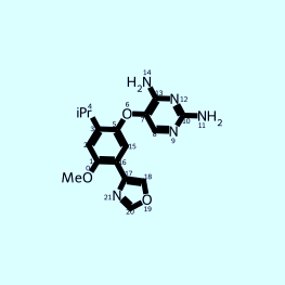 COc1cc(C(C)C)c(Oc2cnc(N)nc2N)cc1-c1cocn1